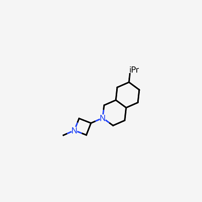 CC(C)C1CCC2CCN(C3CN(C)C3)CC2C1